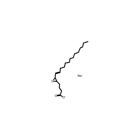 CCCCCCCCCCCCC=CC1OC1CCCC(=O)[O-].[Na+]